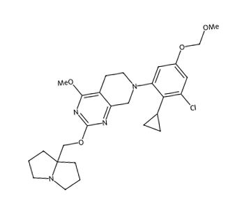 COCOc1cc(Cl)c(C2CC2)c(N2CCc3c(nc(OCC45CCCN4CCC5)nc3OC)C2)c1